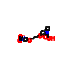 O=C(O)Cn1c2ccccc2c2ccc(OCCCCCOc3ccc([N+](=O)[O-])cc3)cc21